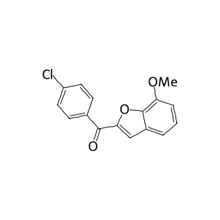 COc1cccc2cc(C(=O)c3ccc(Cl)cc3)oc12